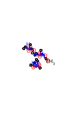 COc1ccc(CC(=O)N2CCN(C(=O)c3ccccc3)C(C(=O)NCc3cccc4ccccc34)C2)cc1.O=C(NC1CCc2ccccc21)C1CN(C(=O)C(c2ccccc2)c2ccccc2)CCN1C(=O)c1ccccc1.O=C(NCc1cccc2ccccc12)C1CN(C(=O)C2CCCCC2)CCN1C(=O)c1ccccc1